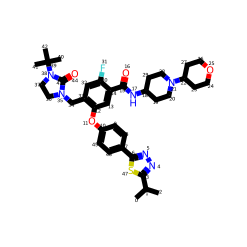 CC(C)c1nnc(-c2ccc(Oc3cc(C(=O)NC4CCN(C5CCOCC5)CC4)c(F)cc3CN3CCN(C(C)(C)C)C3=O)cc2)s1